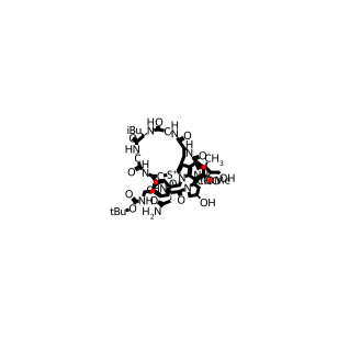 CC[C@H](C)[C@@H]1NC(=O)CNC(=O)C2Cc3c(n(Cc4ccc(CNC(=O)OC(C)(C)C)cc4)c4cc(OC)ccc34)[S@+]([O-])CC(NC(=O)CNC1=O)C(=O)N[C@@H](CC(N)=O)C(=O)N1C[C@H](O)C[C@]1(C=O)N[C@@H]([C@@H](C)[C@@H](O)CO)C(=O)N2